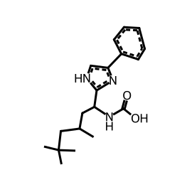 CC(CC(NC(=O)O)c1nc(-c2ccccc2)c[nH]1)CC(C)(C)C